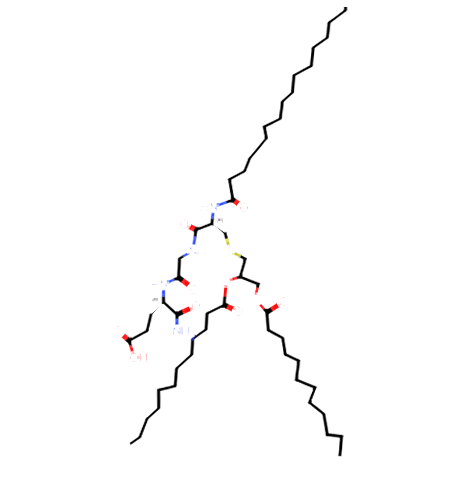 CCCCCCCCCCCCCCCC(=O)N[C@@H](CSCC(COC(=O)CCCCCCCCCCC)OC(=O)CCCCCCCCCCC)C(=O)NCC(=O)N[C@H](CCC(=O)O)C(N)=O